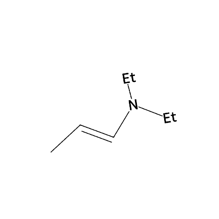 CC=CN(CC)CC